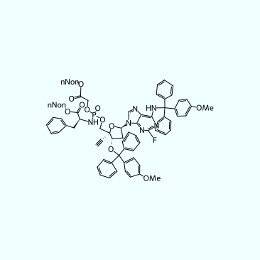 C#C[C@]1(COP(=O)(N[C@@H](Cc2ccccc2)C(=O)OCCCCCCCCC)OCC(=O)OCCCCCCCCC)O[C@@H](n2cnc3c(NC(c4ccccc4)(c4ccccc4)c4ccc(OC)cc4)nc(F)nc32)C[C@@H]1OC(c1ccccc1)(c1ccccc1)c1ccc(OC)cc1